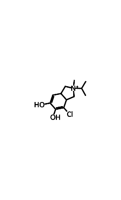 CC(C)[N+]1(C)CC2C=C(O)C(O)=C(Cl)C2C1